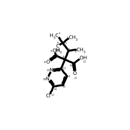 CC(C(C)(C)C)C(C(=O)O)(C(=O)O)c1ccc(Cl)nn1